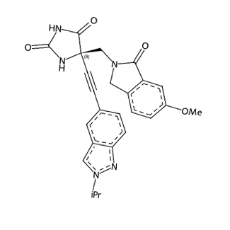 COc1ccc2c(c1)C(=O)N(C[C@@]1(C#Cc3ccc4nn(C(C)C)cc4c3)NC(=O)NC1=O)C2